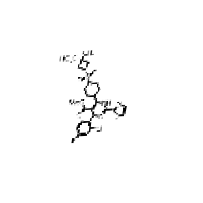 COC(=O)C1=C(C2CCN(S(=O)(=O)[C@H]3C[C@@](C)(C(=O)O)C3)CC2)NC(c2nccs2)=NC1c1ccc(F)cc1Cl